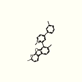 Cc1cccc(-c2cc[n+](C)c(-c3c(C)ccc4c3oc3nc(C)ccc34)c2)c1